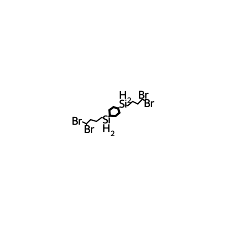 BrC(Br)CCC[SiH2]c1ccc([SiH2]CCCC(Br)Br)cc1